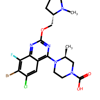 C[C@H]1CN(C(=O)O)CCN1c1nc(OC[C@@H]2CCCN2C)nc2c(F)c(Br)c(Cl)cc12